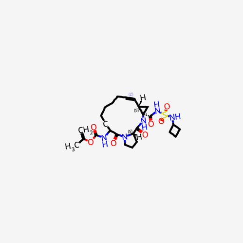 C=C(C)OC(=O)NC1CCCCC/C=C\[C@@H]2C[C@@]2(C(=O)NS(=O)(=O)NC2CCC2)NC(=O)[C@@H]2CCCN2C1=O